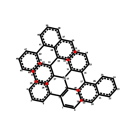 C1=CC(c2ccccc2)=C(N(c2ccccc2-c2cccc3ccccc23)c2ccccc2-c2cccc3cccc(-c4ccccc4)c23)CC1